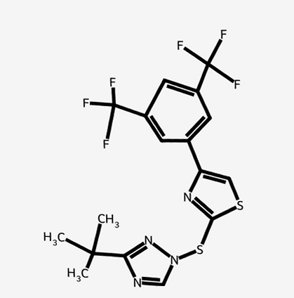 CC(C)(C)c1ncn(Sc2nc(-c3cc(C(F)(F)F)cc(C(F)(F)F)c3)cs2)n1